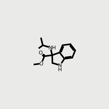 COC(=O)C1(NC(C)C)CNc2ccccc21